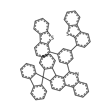 c1ccc2c(c1)-c1ccccc1C21c2ccccc2-c2c1ccc1c2c(-c2cc(-c3cccc4c3sc3ccccc34)cc(-c3cccc4c3sc3ccccc34)c2)nc2ccccc21